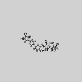 CCc1c(C(=O)N2CCOc3ccc(-c4ccc(-c5c[nH]c(=O)[nH]5)cc4)cc3C2)ccc(S(C)(=O)=O)c1F